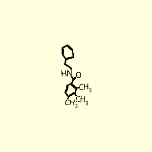 Cc1ccc(C(=O)NCCc2ccccc2)c(C)c1C